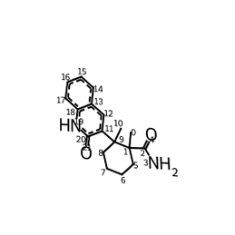 CC1(C(N)=O)CCCCC1(C)c1cc2ccccc2[nH]c1=O